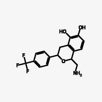 NCC1OC(c2ccc(C(F)(F)F)cc2)Cc2c1ccc(O)c2O